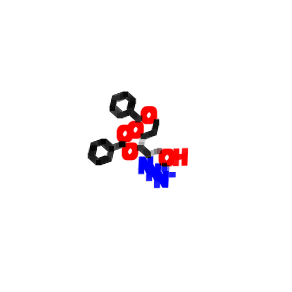 [N-]=[N+]=N[C@@H](CO)C(OC(=O)c1ccccc1)[C@H]1CCOC(c2ccccc2)O1